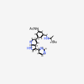 CC(=O)Nc1cc(CN[C@@H](C)C(C)(C)C)cc(-c2cnc3[nH]cc(-c4ccncn4)c3c2)c1